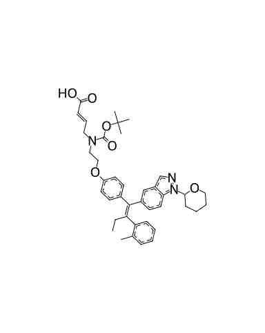 CCC(=C(c1ccc(OCCN(CC=CC(=O)O)C(=O)OC(C)(C)C)cc1)c1ccc2c(cnn2C2CCCCO2)c1)c1ccccc1C